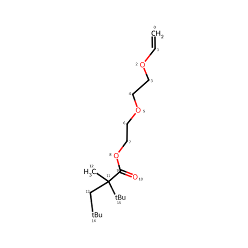 C=COCCOCCOC(=O)C(C)(CC(C)(C)C)C(C)(C)C